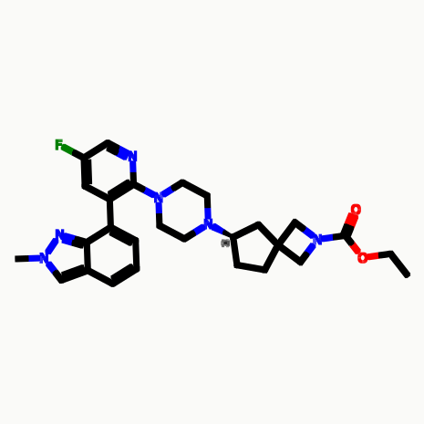 CCOC(=O)N1CC2(CC[C@@H](N3CCN(c4ncc(F)cc4-c4cccc5cn(C)nc45)CC3)C2)C1